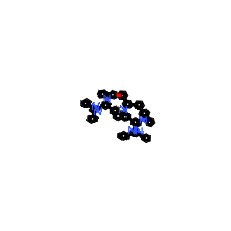 c1ccc(-c2cc(-c3ccccc3)cc(-n3c4cc(-c5cc(-c6nc(-c7ccccc7)cc(-c7ccccc7)n6)cc(-n6c7ccccc7c7ccccc76)c5)cc5c4c4c(cc(-c6cc(-c7nc(-c8ccccc8)cc(-c8ccccc8)n7)cc(-n7c8ccccc8c8ccccc87)c6)cc43)CC5)c2)cc1